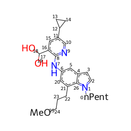 CCCCCn1ccc2cc(Nc3ncc(C4CC4)cc3C(O)O)cc(CCCOC)c21